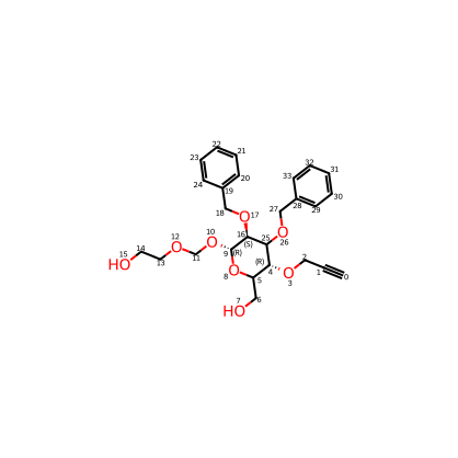 C#CCO[C@@H]1C(CO)O[C@H](OCOCCO)[C@@H](OCc2ccccc2)C1OCc1ccccc1